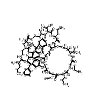 CNC(=O)c1ccccc1Sc1ccc2c(/C=C/c3ccccn3)nn(C(=O)N(CCNC(=O)[C@@H](N)CCC(=O)O)CC(C)(C)C(=O)OCCC(O)N[C@H](C(=O)N[C@@H](CCN)C(=O)N[C@H]3CCNC(O)[C@H]([C@@H](C)O)NC(=O)[C@H](CCN)NC(=O)[C@H](CCN)NC(=O)[C@H](CC(C)C)NC(=O)[C@@H](Cc4ccccc4)NC(=O)[C@H](CCN)NC3=O)[C@@H](C)O)c2c1